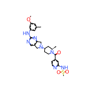 COc1cc(C)cc(Nc2ncc3c(n2)CN([C@@H]2CCN(C(=O)c4ccnc(NS(C)(=O)=O)c4)[C@H](C)C2)C3)c1